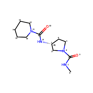 CNC(=O)N1CC[C@@H](NC(=O)N2CCCCC2)C1